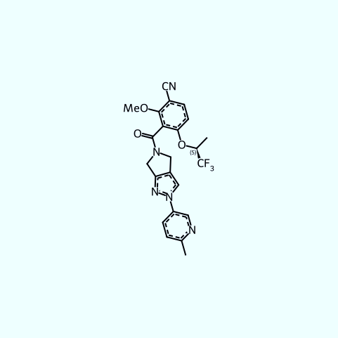 COc1c(C#N)ccc(O[C@@H](C)C(F)(F)F)c1C(=O)N1Cc2cn(-c3ccc(C)nc3)nc2C1